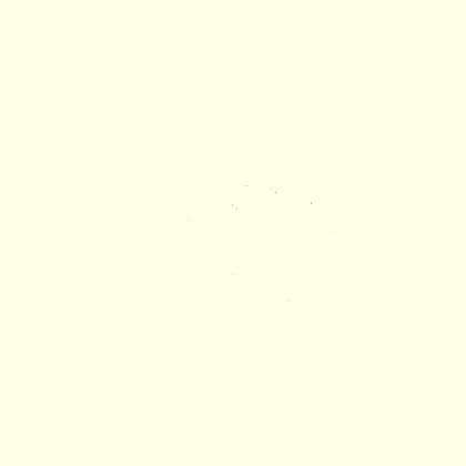 COC(O)c1cc(Nc2nc3cc(Cl)c(Cl)cc3o2)ccc1F